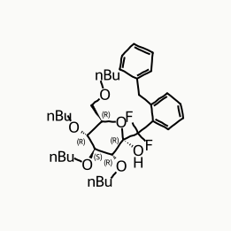 CCCCOC[C@H]1O[C@@](O)(C(F)(F)c2ccccc2Cc2ccccc2)[C@H](OCCCC)[C@@H](OCCCC)[C@@H]1OCCCC